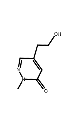 Cn1ncc(CCO)cc1=O